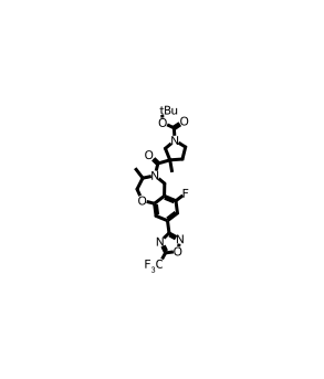 CC1COc2cc(-c3noc(C(F)(F)F)n3)cc(F)c2CN1C(=O)C1(C)CCN(C(=O)OC(C)(C)C)C1